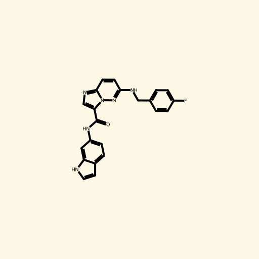 O=C(Nc1ccc2cc[nH]c2c1)c1cnc2ccc(NCc3ccc(F)cc3)nn12